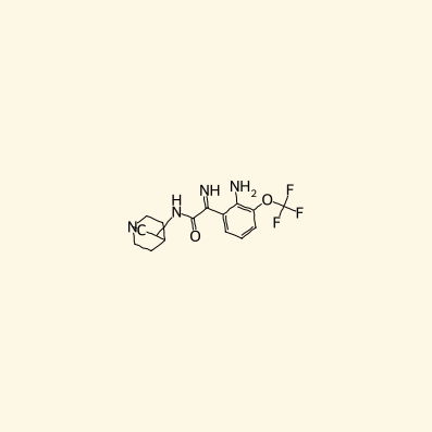 N=C(C(=O)NC1CN2CCC1CC2)c1cccc(OC(F)(F)F)c1N